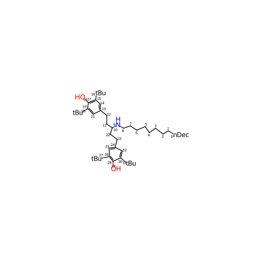 CCCCCCCCCCCCCCCCCCNC(CCc1cc(C(C)(C)C)c(O)c(C(C)(C)C)c1)CCc1cc(C(C)(C)C)c(O)c(C(C)(C)C)c1